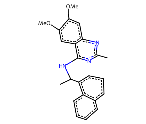 COc1cc2nc(C)nc(NC(C)c3cccc4ccccc34)c2cc1OC